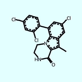 Cc1c2n(c3c(-c4ccc(Cl)cc4Cl)cc(Cl)cc13)CCNC2=O